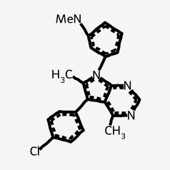 CNc1cccc(-n2c(C)c(-c3ccc(Cl)cc3)c3c(C)ncnc32)c1